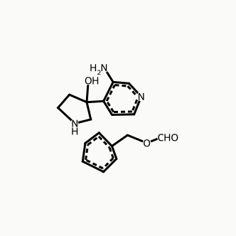 Nc1cnccc1C1(O)CCNC1.O=COCc1ccccc1